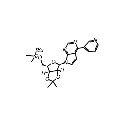 CC1(C)O[C@@H]2[C@H](O1)[C@@H](CO[Si](C)(C)C(C)(C)C)O[C@H]2n1ccc2c(-c3cccnc3)ncnc21